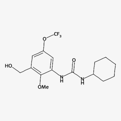 COc1c(CO)cc(OC(F)(F)F)cc1NC(=O)NC1CCCCC1